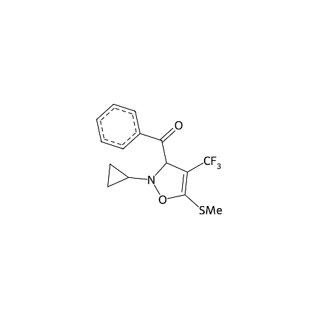 CSC1=C(C(F)(F)F)C(C(=O)c2ccccc2)N(C2CC2)O1